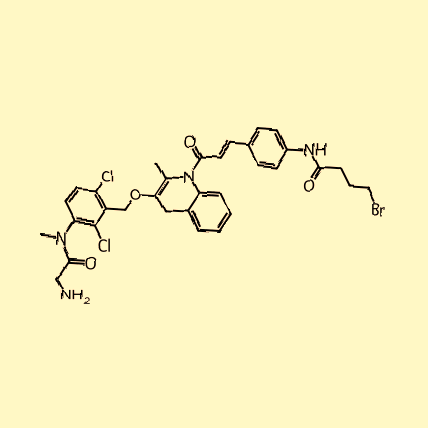 CC1=C(OCc2c(Cl)ccc(N(C)C(=O)CN)c2Cl)Cc2ccccc2N1C(=O)C=Cc1ccc(NC(=O)CCCBr)cc1